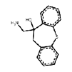 NCC1(O)Cc2ccccc2Sc2ccccc21